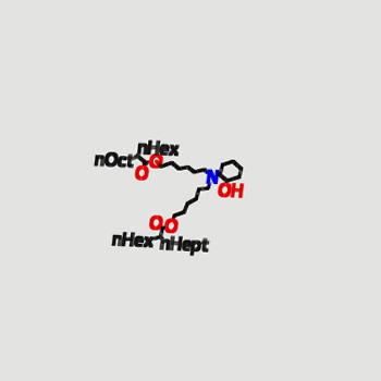 CCCCCCCCC(CCCCCC)C(=O)OCCCCCCN(CCCCCCOC(=O)C(CCCCCC)CCCCCCC)C1CCCCC1O